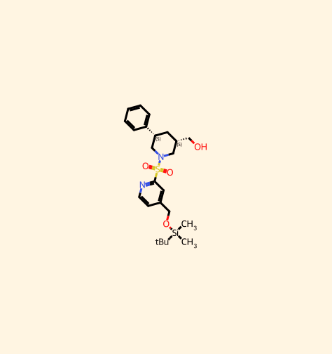 CC(C)(C)[Si](C)(C)OCc1ccnc(S(=O)(=O)N2C[C@@H](CO)C[C@@H](c3ccccc3)C2)c1